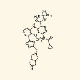 BC(B)(B)NC(=O)c1nnc(NC(=O)C2CC2)cc1Nc1cccc(-c2nc(CN3CC4CNCC4C3)no2)c1OC